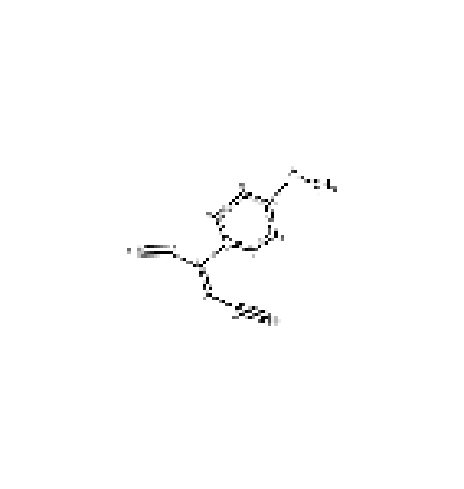 COc1ccc(/C(C#N)=C\C#N)cc1